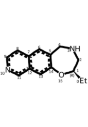 CC[C@@H]1CNCc2cc3ccncc3cc2O1